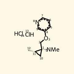 CN[C@]1(COc2cccnc2)C[C@@H]1C.Cl.Cl